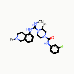 CCN1CCc2c(cccc2N/C(=N/C#N)N2CCN(C(=O)Nc3cccc(F)c3)CC2C(C)C)C1